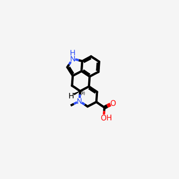 CN1CC(C(=O)O)C=C2c3cccc4[nH]cc(c34)C[C@H]21